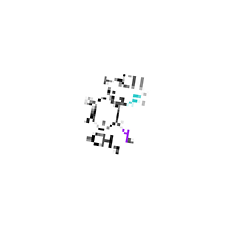 CCC1=C(F)C(I)C(C)C=C1